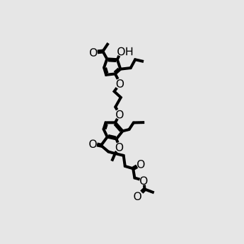 CCCc1c(OCCCOc2ccc3c(c2CCC)OC(C)(CCC(=O)COC(C)=O)CC3=O)ccc(C(C)=O)c1O